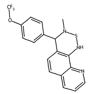 CN1SNc2c(ccc3cccnc23)C1c1ccc(OC(F)(F)F)cc1